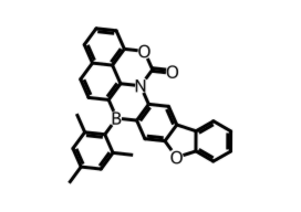 Cc1cc(C)c(B2c3cc4oc5ccccc5c4cc3N3C(=O)Oc4cccc5ccc2c3c45)c(C)c1